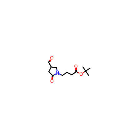 CC(C)(C)OC(=O)CCCN1CC(C=O)CC1=O